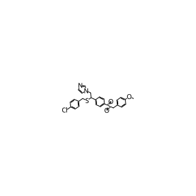 COc1ccc(CS(=O)(=O)c2ccc(C(Cn3ccnc3)SCc3ccc(Cl)cc3)cc2)cc1